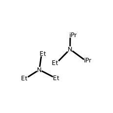 CCN(C(C)C)C(C)C.CCN(CC)CC